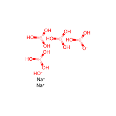 OB(O)O.OB(O)O.OB(O)O.[Na+].[Na+].[O-]B(O)O.[OH-]